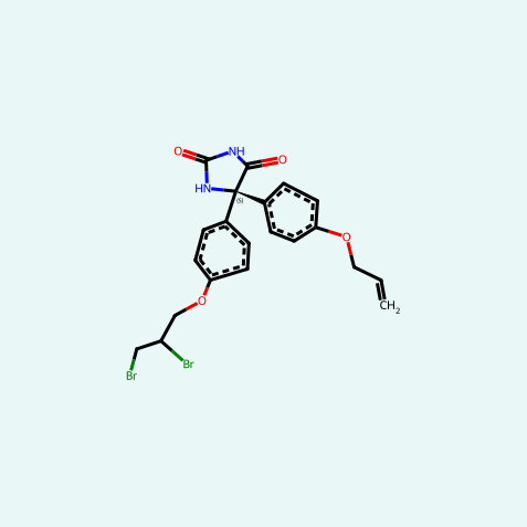 C=CCOc1ccc([C@@]2(c3ccc(OCC(Br)CBr)cc3)NC(=O)NC2=O)cc1